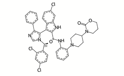 C[C@@H](c1ccc(Cl)cc1Cl)n1cnc(-c2ccccc2)c1-c1c(C(=O)Nc2ccccc2N2CCC(N3CCCOC3=O)CC2)[nH]c2cc(Cl)ccc12